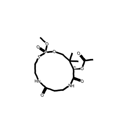 COP1(=O)OCC(C)(C)[C@@H](OC(C)=O)C(=O)NCCC(=O)NCCS1